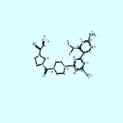 C=CC(=O)N1CC[C@H](C(=O)N2CCN(c3nc(N)nc(-c4cnc(N)nc4C(F)F)n3)CC2)C1